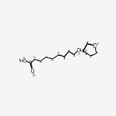 C1CCOC1.CCCCCCCCCC(=O)O